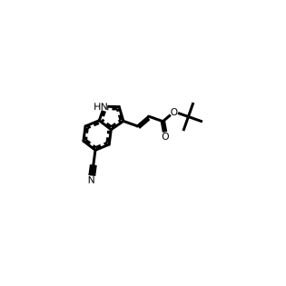 CC(C)(C)OC(=O)C=Cc1c[nH]c2ccc(C#N)cc12